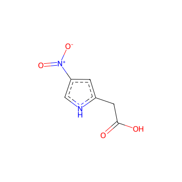 O=C(O)Cc1cc([N+](=O)[O-])c[nH]1